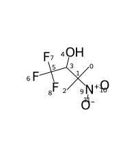 CC(C)(C(O)C(F)(F)F)[N+](=O)[O-]